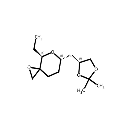 CC[C@H]1O[C@H](C[C@@H]2COC(C)(C)O2)CCC12CO2